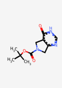 CC(C)(C)OC(=O)N1Cc2nc[nH]c(=O)c2C1